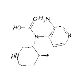 Nc1cnccc1N(C(=O)O)[C@H]1CNCC[C@@H]1F